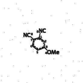 [C-]#[N+]c1cc(OC)ccc1C#N